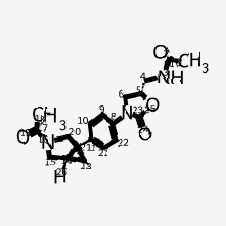 CC(=O)NC[C@H]1CN(c2ccc([C@@]34C[C@@H]3CN(C(C)=O)C4)cc2)C(=O)O1